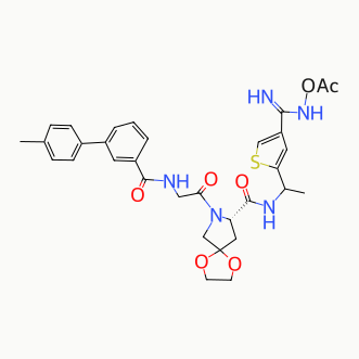 CC(=O)ONC(=N)c1csc(C(C)NC(=O)[C@@H]2CC3(CN2C(=O)CNC(=O)c2cccc(-c4ccc(C)cc4)c2)OCCO3)c1